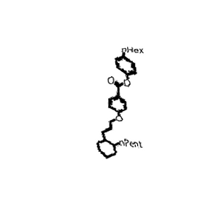 CCCCCCc1ccc(OC(=O)c2ccc(OCCCC3CCCCC3CCCCC)cc2)cc1